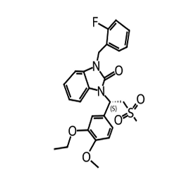 CCOc1cc([C@@H](CS(C)(=O)=O)n2c(=O)n(Cc3ccccc3F)c3ccccc32)ccc1OC